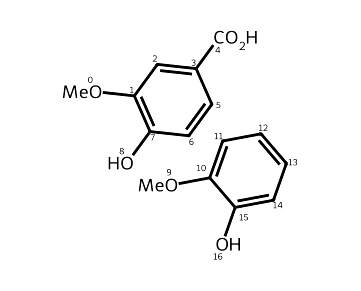 COc1cc(C(=O)O)ccc1O.COc1ccccc1O